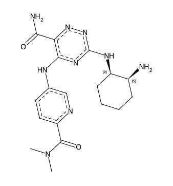 CN(C)C(=O)c1ccc(Nc2nc(N[C@@H]3CCCC[C@@H]3N)nnc2C(N)=O)cn1